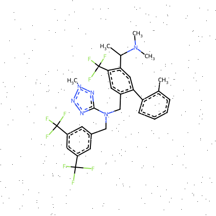 Cc1ccccc1-c1cc(C(C)N(C)C)c(C(F)(F)F)cc1CN(Cc1cc(C(F)(F)F)cc(C(F)(F)F)c1)c1nnn(C)n1